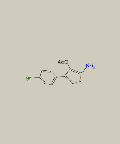 CC(=O)Oc1c(-c2ccc(Br)cc2)csc1N